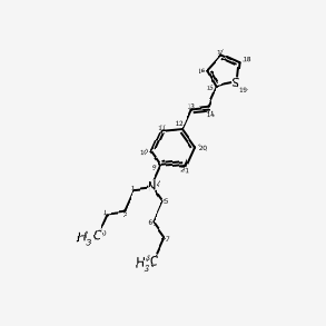 CCCCN(CCCC)c1ccc(C=Cc2cccs2)cc1